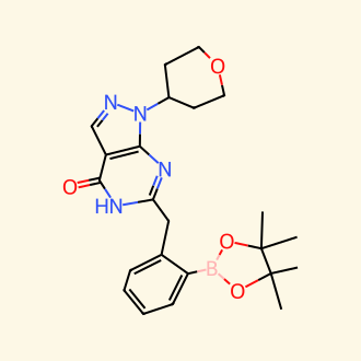 CC1(C)OB(c2ccccc2Cc2nc3c(cnn3C3CCOCC3)c(=O)[nH]2)OC1(C)C